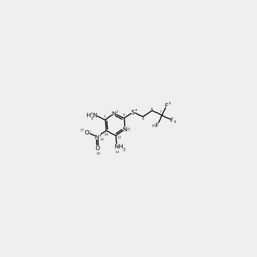 Nc1nc(SCCC(F)(F)F)nc(N)c1[N+](=O)[O-]